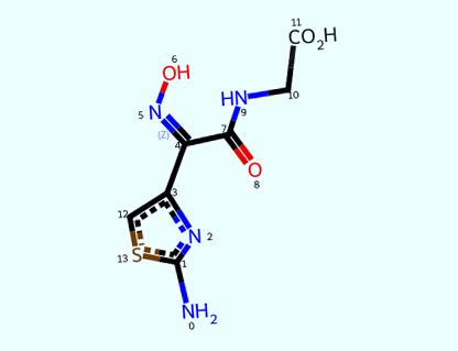 Nc1nc(/C(=N/O)C(=O)NCC(=O)O)cs1